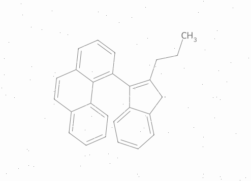 CCCC1=C(c2cccc3ccc4ccccc4c23)c2ccccc2[CH]1